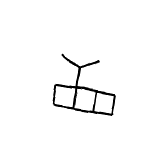 CC(C)C12C3C4C5C3C1C5C42